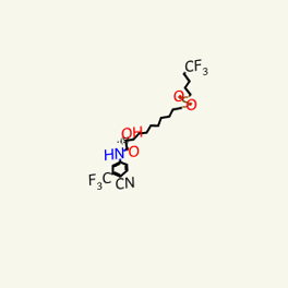 C[C@](O)(CCCCCCCCCS(=O)(=O)CCCCC(F)(F)F)C(=O)Nc1ccc(C#N)c(C(F)(F)F)c1